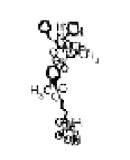 CC(C)C[C@H](NC(=O)[C@H](Cc1ccccc1)NC(=O)c1cnccn1)B1Oc2ccc(N(C)C(=O)OCCCC(=O)NC(P=O)P(=O)(O)O)cc2O1